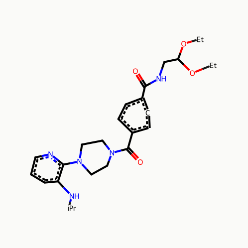 CCOC(CNC(=O)c1ccc(C(=O)N2CCN(c3ncccc3NC(C)C)CC2)cc1)OCC